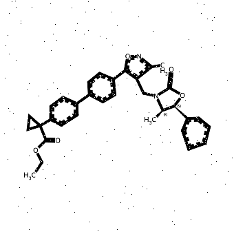 CCOC(=O)C1(c2ccc(-c3ccc(-c4onc(C)c4CN4C(=O)O[C@@H](c5ccccc5)[C@H]4C)cc3)cc2)CC1